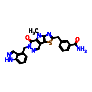 Cn1c2nc(Cc3cccc(C(N)=O)c3)sc2c2cnn(Cc3cccc4[nH]ncc34)c(=O)c21